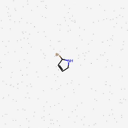 BrC1C=C[CH]N1